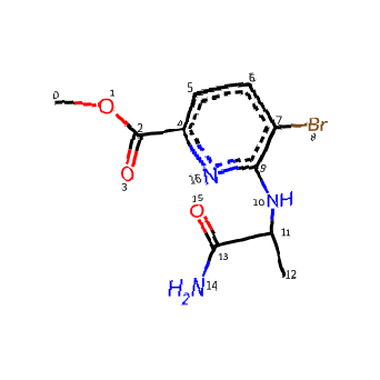 COC(=O)c1ccc(Br)c(NC(C)C(N)=O)n1